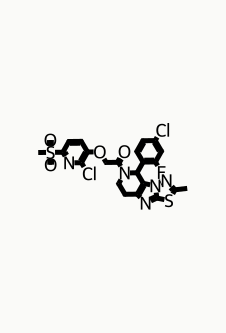 Cc1nn2c3c(nc2s1)CCN(C(=O)COc1ccc(S(C)(=O)=O)nc1Cl)C3c1ccc(Cl)cc1F